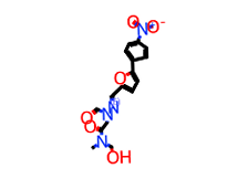 CN(CO)C(=O)CN(C=O)/N=C/c1ccc(-c2ccc([N+](=O)[O-])cc2)o1